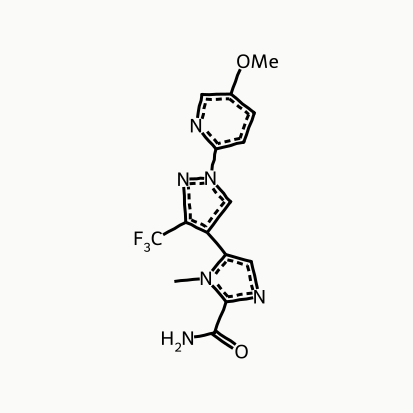 COc1ccc(-n2cc(-c3cnc(C(N)=O)n3C)c(C(F)(F)F)n2)nc1